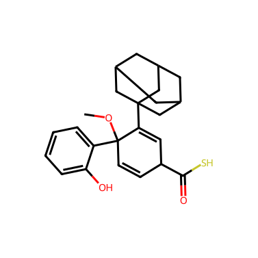 COC1(c2ccccc2O)C=CC(C(=O)S)C=C1C12CC3CC(CC(C3)C1)C2